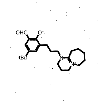 CC(C)(C)c1cc(C=O)c([O-])c(CCCN2CCC[N+]3=C2CCCCC3)c1